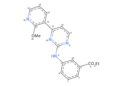 CCOC(=O)c1cccc(Nc2nccc(-c3cccnc3OC)n2)c1